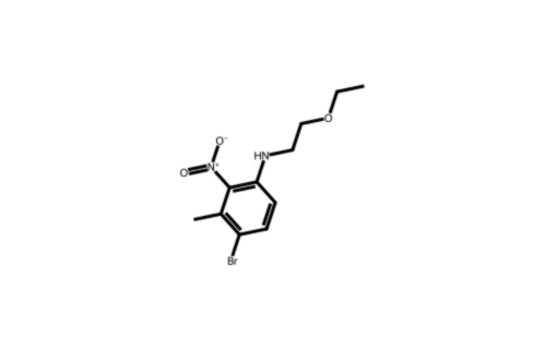 CCOCCNc1ccc(Br)c(C)c1[N+](=O)[O-]